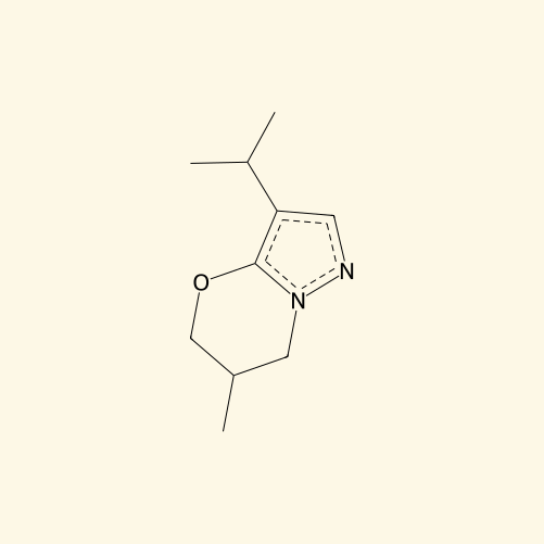 CC1COc2c(C(C)C)cnn2C1